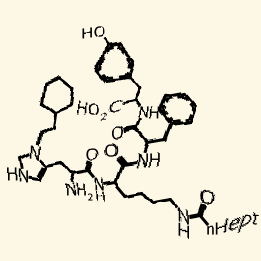 CCCCCCCC(=O)NCCCCC(NC(=O)C(N)CC1=CNCN1CCC1CCCCC1)C(=O)NC(Cc1ccccc1)C(=O)NC(Cc1ccc(O)cc1)C(=O)O